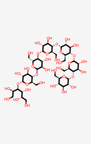 OC[C@@H](O)[C@@H](O[C@H]1O[C@H](CO)[C@@H](O[C@H]2O[C@H](CO)[C@@H](O[C@H]3O[C@H](CO)[C@@H](O[C@H]4O[C@H](CO)[C@@H](O[C@H]5O[C@H](CO)[C@@H](O[C@H]6O[C@H](CO)[C@@H](O)[C@H](O)[C@H]6O)[C@H](O)[C@H]5O)[C@H](O)[C@H]4O)[C@H](O)[C@H]3O)[C@H](O)[C@H]2O)[C@H](O)[C@H]1O)[C@H](O)[C@@H](O)CO